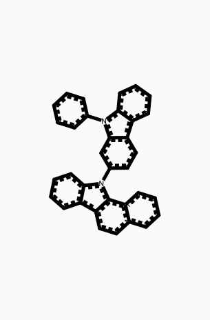 c1ccc(-n2c3ccccc3c3ccc(-n4c5ccccc5c5ccc6ccccc6c54)cc32)cc1